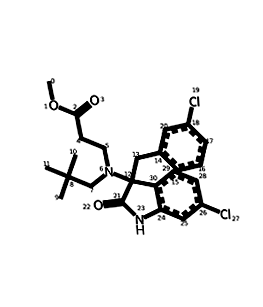 COC(=O)CCN(CC(C)(C)C)C1(Cc2cccc(Cl)c2)C(=O)Nc2cc(Cl)ccc21